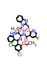 CCOc1cc(Cl)cc(Cl)c1C1=NC(NC(=O)c2cc(F)cnc2OCc2nc3ccccc3n2CC)C(=O)Nc2ccccc21